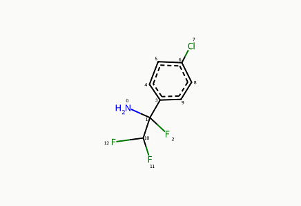 NC(F)(c1ccc(Cl)cc1)C(F)F